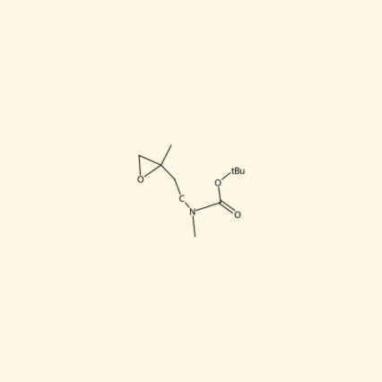 CN(CCC1(C)CO1)C(=O)OC(C)(C)C